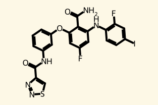 NC(=O)c1c(Nc2ccc(I)cc2F)cc(F)cc1Oc1cccc(NC(=O)c2csnn2)c1